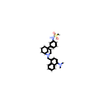 CN(C)c1ccc(CN2CCC3(c4cccc(NS(C)(=O)=O)c4)CCCC2C3)c2ccccc12